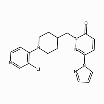 O=c1ccc(-n2cccn2)nn1CC1CCN(c2ccncc2Cl)CC1